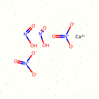 O=NO.O=NO.O=[N+]([O-])[O-].O=[N+]([O-])[O-].[Ca+2]